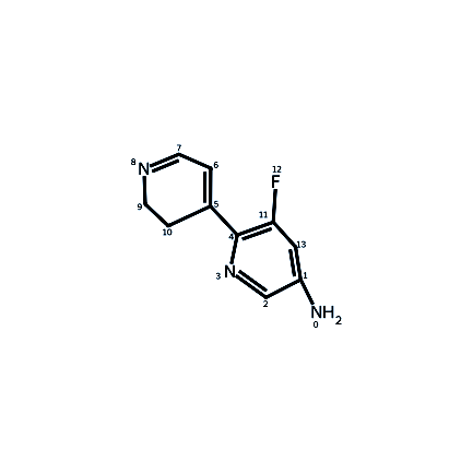 Nc1cnc(C2=CC=NCC2)c(F)c1